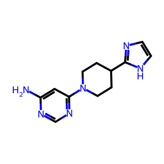 Nc1cc(N2CCC(c3ncc[nH]3)CC2)ncn1